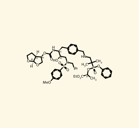 CCOC(=O)[C@H](C)OP(=O)(Oc1ccccc1)C(C)(C)CNCc1ccc(C[C@H](NC(=O)O[C@H]2CO[C@H]3OCC[C@H]32)[C@H](O)CN(CC(C)C)S(=O)(=O)c2ccc(OC)cc2)cc1